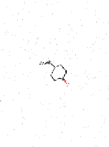 CNC1CCC(=O)CC1